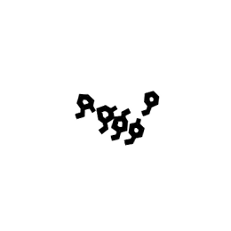 C=Cc1ccc(C)cc1.C=Cc1ccc(C=C)cc1.C=Cc1cccc(C)c1.C=Cc1ccccc1.C=Cc1ccccc1C